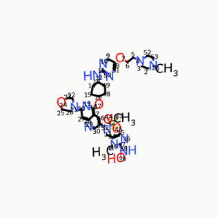 CN1CCN(CCOc2cnc(N[C@H]3CC[C@@H](Oc4nc(N5CCOCC5)cc5ncc(N(Cc6cnc(NO)n6C)S(C)(=O)=O)cc45)CC3)nc2)CC1